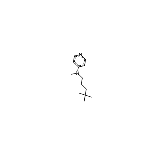 CN(CCCC(C)(C)C)c1ccncc1